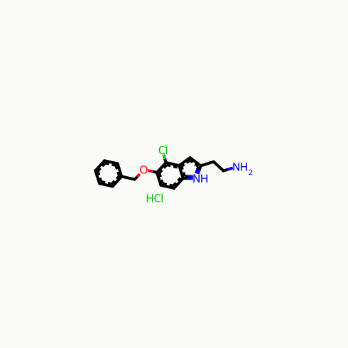 Cl.NCCc1cc2c(Cl)c(OCc3ccccc3)ccc2[nH]1